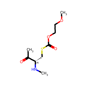 CN[C@@H](CSC(=O)OCCOC)C(C)=O